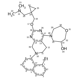 CCc1cccc2cccc(N3CCc4c(nc(OCC5(CN(C)C)CC5)nc4N4CCOCC(O)C4)C3)c12